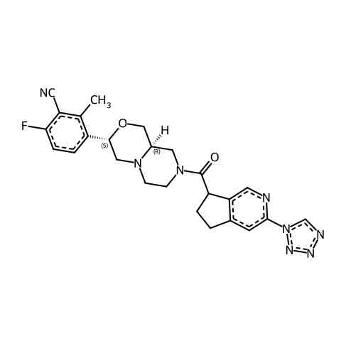 Cc1c([C@H]2CN3CCN(C(=O)C4CCc5cc(-n6cnnn6)ncc54)C[C@@H]3CO2)ccc(F)c1C#N